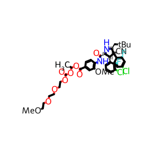 COCCOCCOCCOC(=O)OC(C)OC(=O)c1ccc(NC(=O)[C@@H]2N[C@@H](CC(C)(C)C)[C@](C#N)(c3ccc(Cl)cc3F)[C@H]2c2cccc(Cl)c2F)c(OC)c1